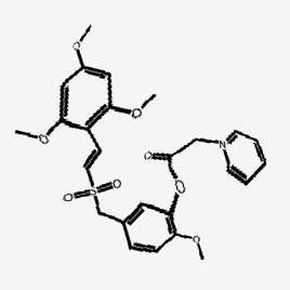 COc1cc(OC)c(/C=C/S(=O)(=O)Cc2ccc(OC)c(OC(=O)C[n+]3ccccc3)c2)c(OC)c1